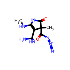 CNC1=C(C(=N)N)C(C)(C(=O)N=[N+]=[N-])C(=O)N1